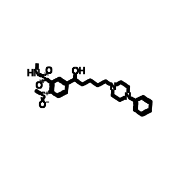 CNS(=O)(=O)c1cc(C(O)CCCCN2CCN(c3ccccc3)CC2)ccc1[S+](C)[O-]